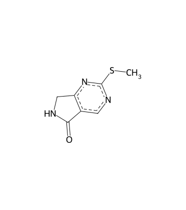 CSc1ncc2c(n1)CNC2=O